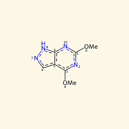 COc1nc(OC)c2cn[nH]c2n1